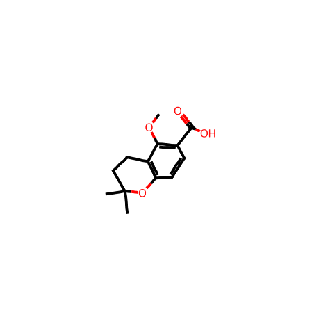 COc1c(C(=O)O)ccc2c1CCC(C)(C)O2